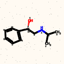 CC(C)NC[C@@H](O)c1ccccc1